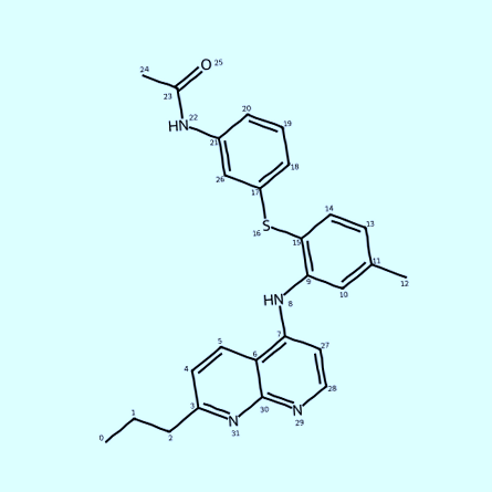 CCCc1ccc2c(Nc3cc(C)ccc3Sc3cccc(NC(C)=O)c3)ccnc2n1